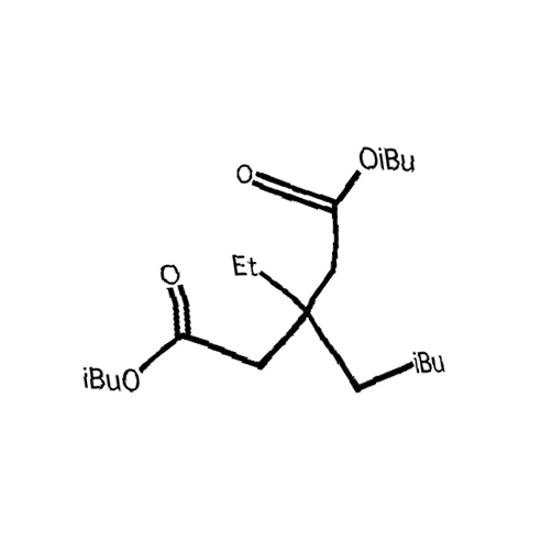 CCC(C)CC(CC)(CC(=O)OCC(C)C)CC(=O)OCC(C)C